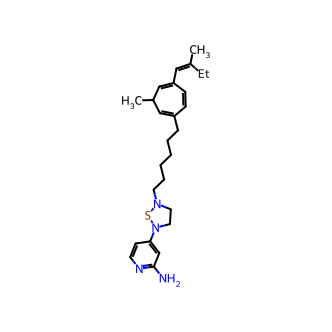 CC/C(C)=C\C1=CC(C)C=C(CCCCCCN2CCN(c3ccnc(N)c3)S2)C=C1